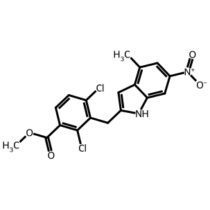 COC(=O)c1ccc(Cl)c(Cc2cc3c(C)cc([N+](=O)[O-])cc3[nH]2)c1Cl